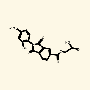 CCC(O)COC(=O)c1ccc2c(c1)C(=O)N(c1ccc(OC)cc1O)C2=O